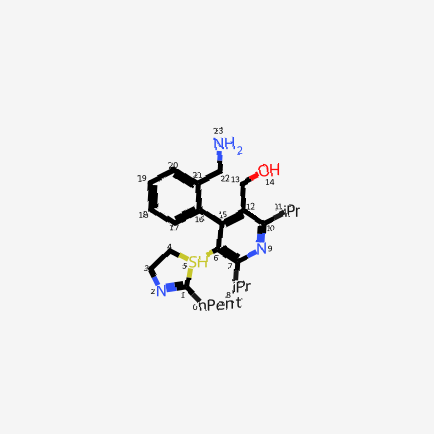 CCCCCC1=NCC[SH]1c1c(C(C)C)nc(C(C)C)c(CO)c1-c1ccccc1CN